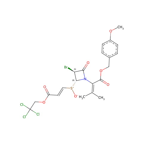 COc1ccc(COC(=O)C(=C(C)C)N2C(=O)[C@H](Br)[C@H]2[S+]([O-])C=CC(=O)OCC(Cl)(Cl)Cl)cc1